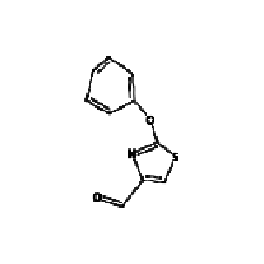 O=Cc1csc(Oc2ccccc2)n1